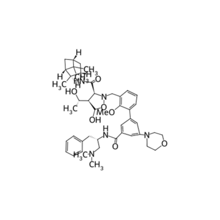 COc1c(CN2OC(O)[C@@H]([C@H](C)O)[C@H]2C(=O)N[C@H]2C[C@H]3C[C@@H]([C@@H]2C)C3(C)C)cccc1-c1cc(C(=O)N[C@@H](Cc2ccccc2)CN(C)C)cc(N2CCOCC2)c1